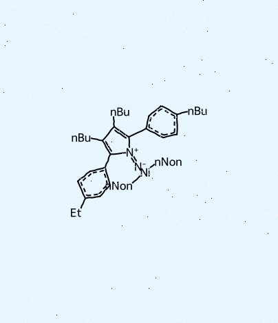 CCCCC1=C(c2ccc(CC)cc2)[N+](=[N-])C(c2ccc(CCCC)cc2)=C1CCCC.CCCCCCCC[CH2][Ni][CH2]CCCCCCCC